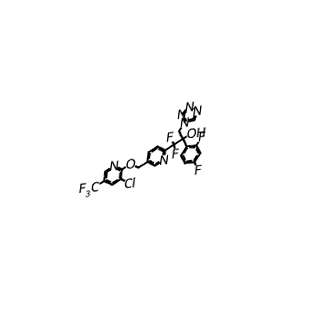 OC(Cn1cnnn1)(c1ccc(F)cc1F)C(F)(F)c1ccc(COc2ncc(C(F)(F)F)cc2Cl)cn1